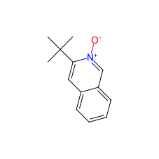 CC(C)(C)c1cc2ccccc2c[n+]1[O-]